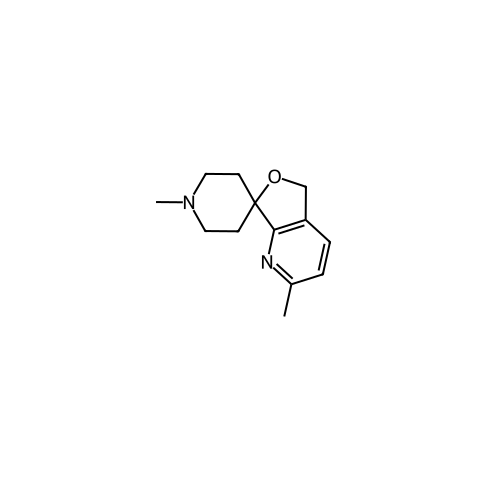 Cc1ccc2c(n1)C1(CCN(C)CC1)OC2